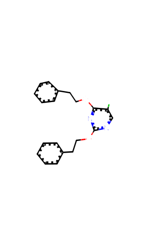 Clc1[c]nc(OCCc2ccccc2)nc1OCCc1ccccc1